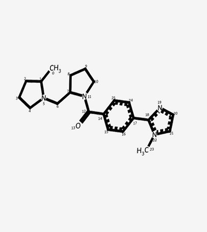 CC1CCCN1CC1CCCN1C(=O)c1ccc(-c2nccn2C)cc1